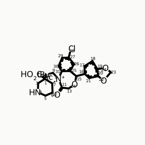 CC(=O)[C@@]1(C(=O)O)CNCC[C@H]1[N+]1(CC(C)(C)C)C(=O)COC(c2ccc3c(c2)OCO3)c2cc(Cl)ccc21